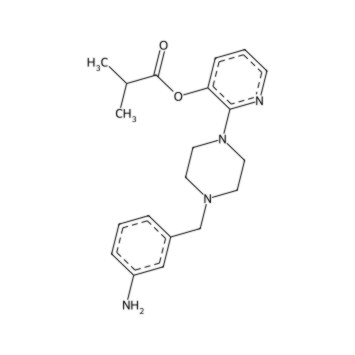 CC(C)C(=O)Oc1cccnc1N1CCN(Cc2cccc(N)c2)CC1